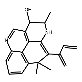 C=CC(=C)C1=C2NC(C)C(O)c3cnc4cccc(c4c32)C1(C)C